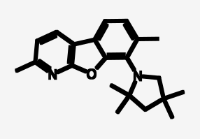 Cc1ccc2c(n1)oc1c(N3CC(C)(C)CC3(C)C)c(C)ccc12